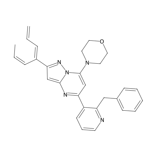 C=C/C=C(\C=C/C)c1cc2nc(-c3cccnc3Cc3ccccc3)cc(N3CCOCC3)n2n1